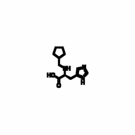 O=C(O)[C@H](Cc1cnc[nH]1)NCC1CCCC1